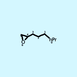 CCCC[CH]CC1CO1